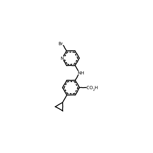 O=C(O)c1cc(C2CC2)ccc1Nc1ccc(Br)nc1